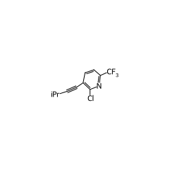 CC(C)C#Cc1ccc(C(F)(F)F)nc1Cl